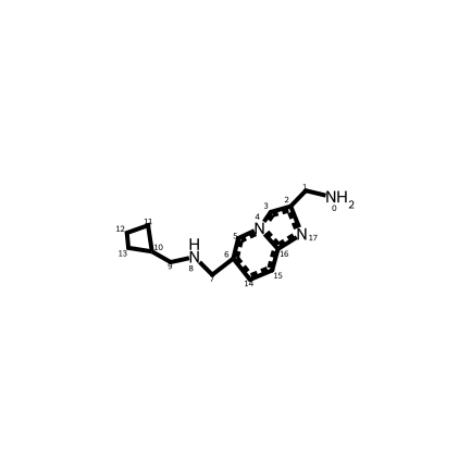 NCc1cn2cc(CNCC3CCC3)ccc2n1